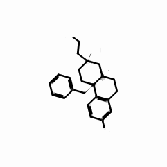 N#Cc1ccc2c(c1)CC[C@@H]1C[C@@](O)(CCC(F)(F)F)CC[C@@]21Cc1ccccc1